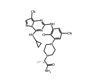 C[C@@H](C(N)=O)N1CCN(c2cc(C#N)cc(Nc3nc(NC4CC4)n4ncc(C#N)c4n3)c2Cl)CC1